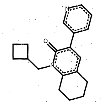 O=c1c(-c2cccnc2)cc2c(n1CC1CCC1)CCCC2